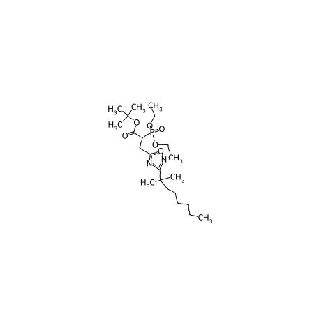 CCCCCCC(C)(C)c1noc(CC(C(=O)OC(C)(C)C)P(=O)(OCC)OCC)n1